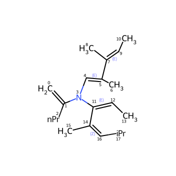 C=C(CCC)N(/C=C(C)/C(C)=C/C)C(=C/C)/C(C)=C\C(C)C